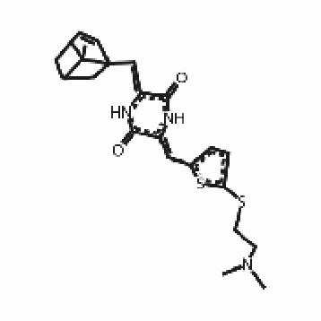 CN(C)CCSc1ccc(/C=c2\[nH]c(=O)/c(=C/C34C=CCC(C3)C4(C)C)[nH]c2=O)s1